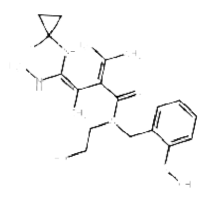 CN/C(NC1(C)CC1)=C(\C)C(C(=O)N(CCO)Cc1ccccc1OC)=C(C)C